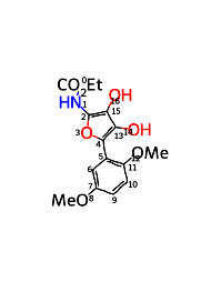 CCOC(=O)Nc1oc(-c2cc(OC)ccc2OC)c(O)c1O